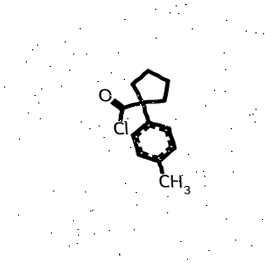 Cc1ccc(C2(C(=O)Cl)CCCC2)cc1